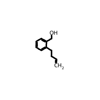 C=CCCc1ccccc1CO